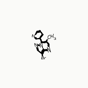 Cc1cnc2c(Br)cnn2c1-c1cccnc1